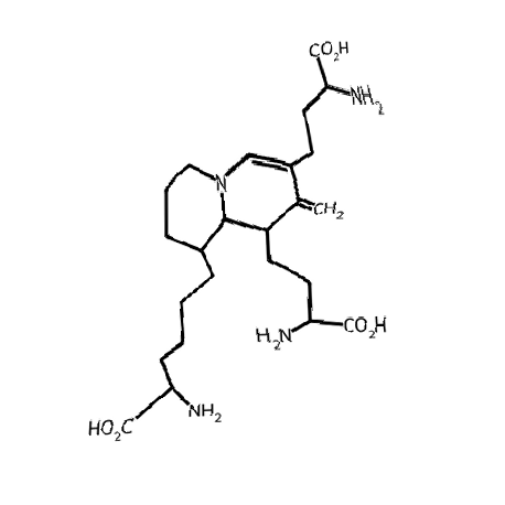 C=C1C(CCC(N)C(=O)O)=CN2CCCC(CCCCC(N)C(=O)O)C2C1CCC(N)C(=O)O